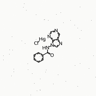 O=C(Nn1cnc2cncnc21)c1ccccc1.[Cl][Hg]